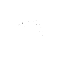 CCCCN1C(=O)[C@H](CC(C)C)NC(=O)C12CCN(Cc1ccc(Oc3ccc(C(=O)OC)cc3)cc1)CC2